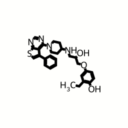 CCc1cc(OCC(O)CNC2CCN(c3ncnc4scc(-c5ccccc5)c34)CC2)ccc1O